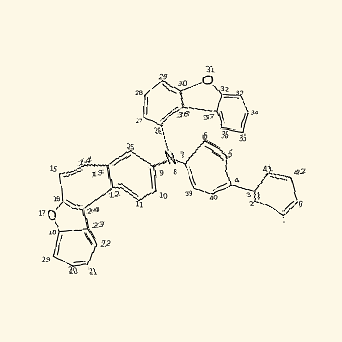 c1ccc(-c2ccc(N(c3ccc4c(ccc5oc6ccccc6c54)c3)c3cccc4oc5ccccc5c34)cc2)cc1